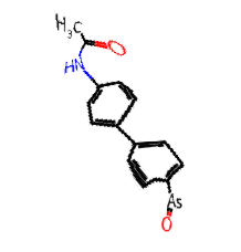 CC(=O)Nc1ccc(-c2ccc([As]=O)cc2)cc1